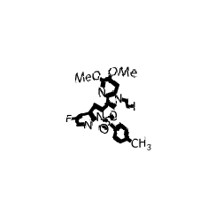 COc1cc2c(nc1OC)c(-c1cc3cc(F)cnc3n1S(=O)(=O)c1ccc(C)cc1)cn2CCI